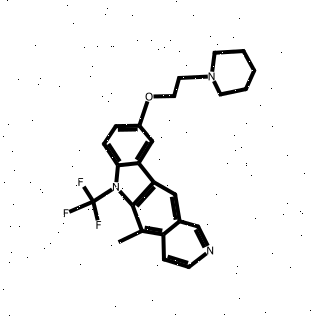 Cc1c2ccncc2cc2c3cc(OCCN4CCCCC4)ccc3n(C(F)(F)F)c12